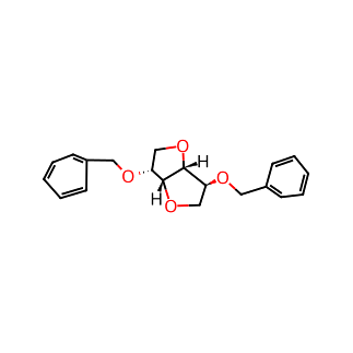 c1ccc(CO[C@H]2CO[C@H]3[C@@H]2OC[C@H]3OCc2ccccc2)cc1